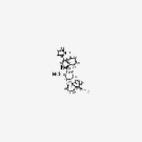 Cl.Cn1nccc1-c1nnc(N2CCC(C3(C(F)(F)F)C=CC=CC3C(N)=O)CC2)c2ccccc12